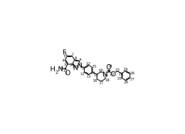 NC(=O)c1cc(F)cc2cn(-c3ccc(C4CCCN(C(=O)OCc5ccccc5)C4)cc3)nc12